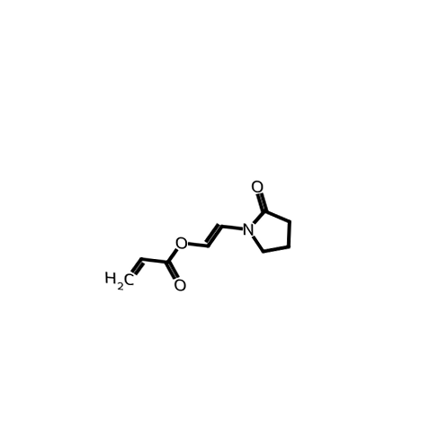 C=CC(=O)OC=CN1CCCC1=O